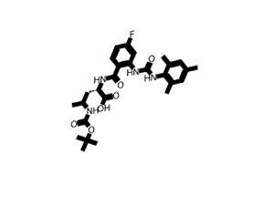 Cc1cc(C)c(NC(=O)Nc2cc(F)ccc2C(=O)N[C@@H](CC(C)NC(=O)OC(C)(C)C)C(=O)O)c(C)c1